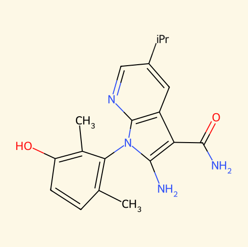 Cc1ccc(O)c(C)c1-n1c(N)c(C(N)=O)c2cc(C(C)C)cnc21